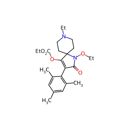 CCOC(=O)OC1=C(c2c(C)cc(C)cc2C)C(=O)N(OCC)C12CCN(CC)CC2